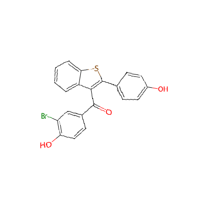 O=C(c1ccc(O)c(Br)c1)c1c(-c2ccc(O)cc2)sc2ccccc12